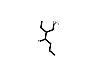 CCCC(F)C(CC)CN